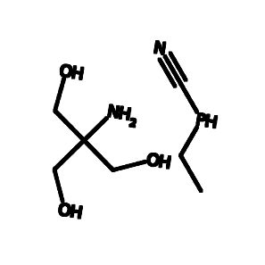 CCPC#N.NC(CO)(CO)CO